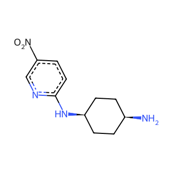 N[C@H]1CC[C@@H](Nc2ccc([N+](=O)[O-])cn2)CC1